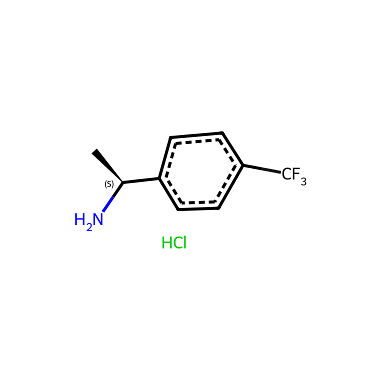 C[C@H](N)c1ccc(C(F)(F)F)cc1.Cl